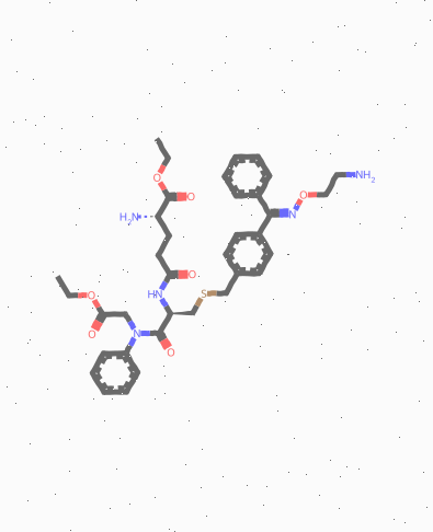 CCOC(=O)CN(C(=O)[C@H](CSCc1ccc(/C(=N/OCCN)c2ccccc2)cc1)NC(=O)CC[C@H](N)C(=O)OCC)c1ccccc1